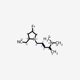 C=C(/C=C/CN1CC(F)CC1CC#N)N(C)C